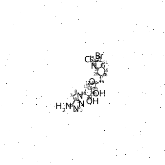 Nc1ncnc2c1ccn2[C@@H]1C[C@@]2(CO[C@@H](Cc3ccc4cc(Br)c(Cl)nc4c3)C2)[C@@H](O)[C@H]1O